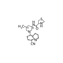 C[C@H]1C[C@@H](NC(=O)C2CSCN2)CN(c2ccc(C#N)c3ncccc23)C1